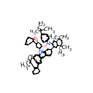 CC(C)(C)c1ccc(N2B3c4cc5oc6ccccc6c5cc4-n4c5cc6c(cc5c5ccc(c3c54)-c3cc4c(cc32)C(C)(C)CCC4(C)C)-c2ccccc2C6(C)C)cc1